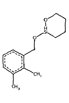 Cc1cccc(CO[SiH]2CCCCO2)c1C